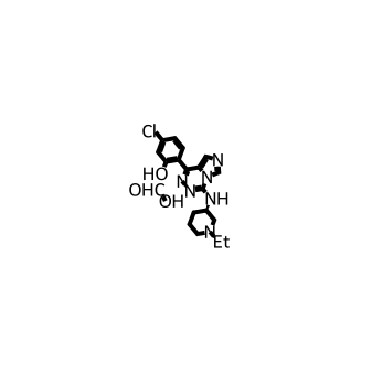 CCN1CCC[C@@H](Nc2nnc(-c3ccc(Cl)cc3O)c3cncn23)C1.O=CO